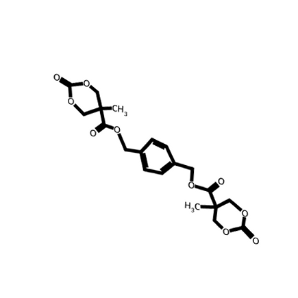 CC1(C(=O)OCc2ccc(COC(=O)C3(C)COC(=O)OC3)cc2)COC(=O)OC1